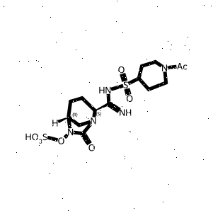 CC(=O)N1CCC(S(=O)(=O)NC(=N)[C@@H]2CC[C@@H]3CN2C(=O)N3OS(=O)(=O)O)CC1